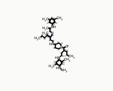 C=C(C/N=C\C(CCNC1CCN(C(=O)C(CCC)CCNc2cc(C)c(NN)cc2C)CC1)=C(/C)CCC)Nc1cc(C)cc(C)c1